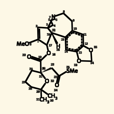 COC1=CC23CCCN2CCc2cc4c(cc2[C@@H]3C1OC(=O)[C@]1(CC(=O)SC)CCCC(C)(C)O1)OCO4